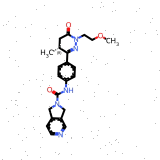 COCCN1N=C(c2ccc(NC(=O)N3Cc4ccncc4C3)cc2)[C@H](C)CC1=O